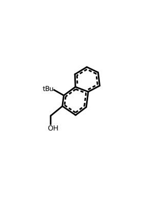 CC(C)(C)c1c(CO)ccc2ccccc12